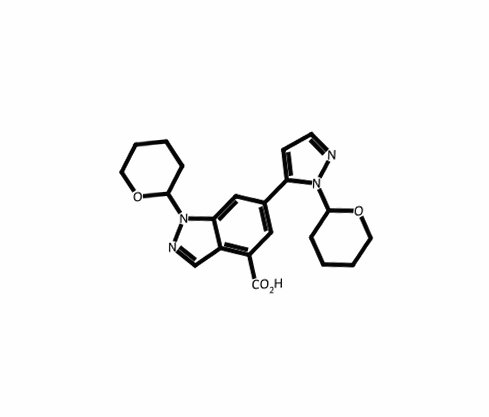 O=C(O)c1cc(-c2ccnn2C2CCCCO2)cc2c1cnn2C1CCCCO1